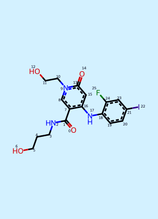 O=C(NCCCO)c1cn(CCO)c(=O)cc1Nc1ccc(I)cc1F